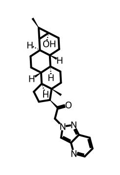 C[C@@H]1C2[C@@H]3CC[C@@H]4[C@H](CC[C@]5(C)[C@@H](C(=O)Cn6cc7ncccc7n6)CC[C@@H]45)[C@H]3CC[C@@]21O